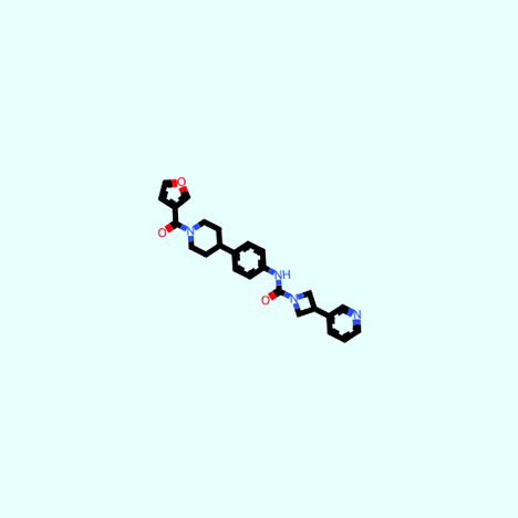 O=C(Nc1ccc(C2CCN(C(=O)c3ccoc3)CC2)cc1)N1CC(c2cccnc2)C1